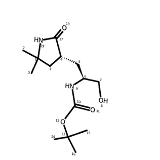 CC1(C)C[C@@H](C[C@@H](CO)NC(=O)OC(C)(C)C)C(=O)N1